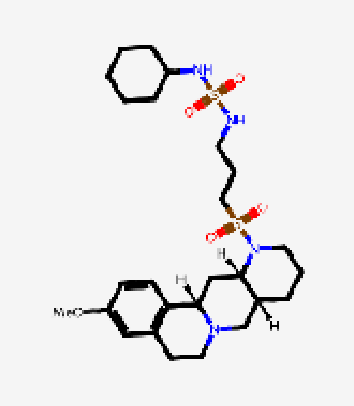 COc1ccc2c(c1)CCN1C[C@H]3CCCN(S(=O)(=O)CCCNS(=O)(=O)NC4CCCCC4)[C@H]3C[C@@H]21